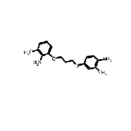 Cc1cc(OCCCOc2cccc(C)c2N)ccc1N